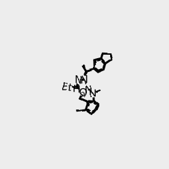 CCC(=NN=C(C)c1ccc2c(c1)CCC2)OCc1c(C)cccc1N(C)N